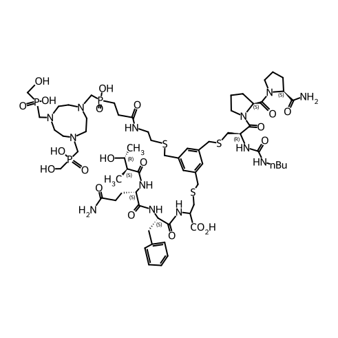 CCCCNC(=O)N[C@@H](CSCc1cc(CSCCNC(=O)CCP(=O)(O)CN2CCN(CP(=O)(O)CO)CCN(CP(=O)(O)CO)CC2)cc(CSCC(NC(=O)[C@H](Cc2ccccc2)NC(=O)[C@H](CCC(N)=O)NC(=O)[C@@H](C)[C@@H](C)O)C(=O)O)c1)C(=O)N1CCC[C@H]1C(=O)N1CCC[C@H]1C(N)=O